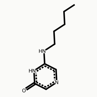 CCCCCNc1cncc(=O)[nH]1